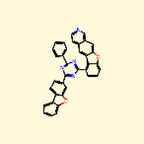 c1ccc(-c2nc(-c3ccc4c(c3)oc3ccccc34)nc(-c3cccc4oc5cc6cnccc6cc5c34)n2)cc1